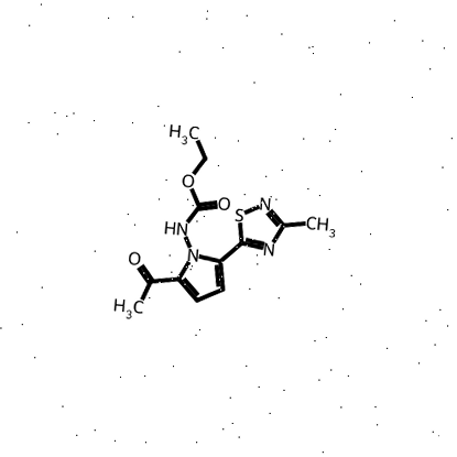 CCOC(=O)Nn1c(C(C)=O)ccc1-c1nc(C)ns1